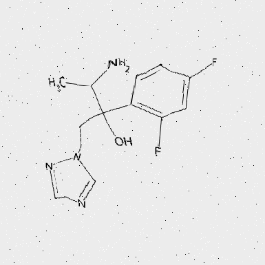 CC(N)C(O)(Cn1cncn1)c1ccc(F)cc1F